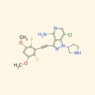 COc1cc(OC)c(F)c(C#Cc2nn(C3CCNC3)c3c(Cl)cnc(N)c23)c1F